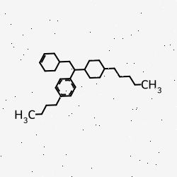 CCCCCC1CCC(C(CC2CC=CCC2)c2ccc(CCCC)cc2)CC1